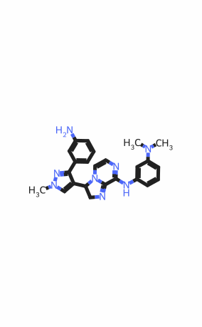 CN(C)c1cccc(NC2=NC=CN3C2=NCC3c2cn(C)nc2-c2cccc(N)c2)c1